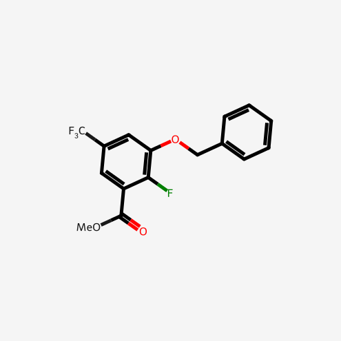 COC(=O)c1cc(C(F)(F)F)cc(OCc2ccccc2)c1F